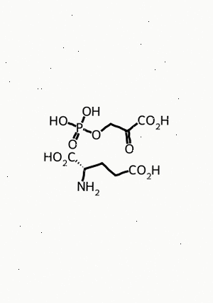 N[C@@H](CCC(=O)O)C(=O)O.O=C(O)C(=O)COP(=O)(O)O